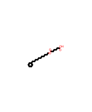 O=C(O)CCCCC(=O)OCCCCCCCCCCCc1ccccc1